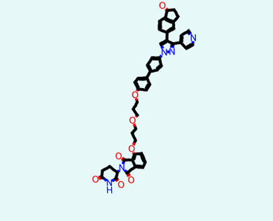 O=C1CCC(N2C(=O)c3cccc(OCCCOCCCOc4ccc(-c5ccc(-n6cc(-c7ccc8c(c7)CCC8=O)c(-c7ccncc7)n6)cc5)cc4)c3C2=O)C(=O)N1